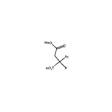 COC(=O)CC(F)(C(C)=O)S(=O)(=O)O